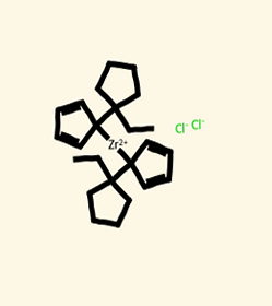 CCC1([C]2([Zr+2][C]3(C4(CC)CCCC4)C=CC=C3)C=CC=C2)CCCC1.[Cl-].[Cl-]